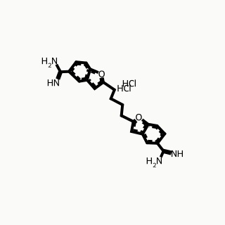 Cl.Cl.N=C(N)c1ccc2oc(CCCCc3cc4cc(C(=N)N)ccc4o3)cc2c1